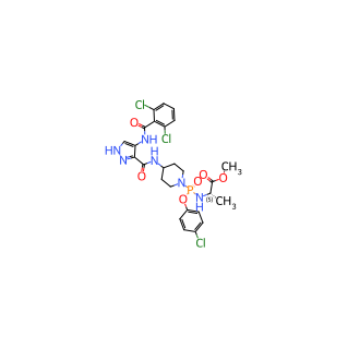 COC(=O)[C@H](C)NP(=O)(Oc1ccc(Cl)cc1)N1CCC(NC(=O)c2n[nH]cc2NC(=O)c2c(Cl)cccc2Cl)CC1